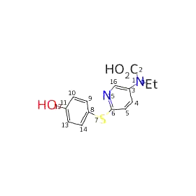 CCN(C(=O)O)c1ccc(Sc2ccc(O)cc2)nc1